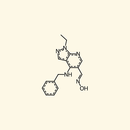 CCn1ncc2c(NCc3ccccc3)c(C=NO)cnc21